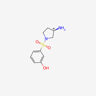 N[C@@H]1CCN(S(=O)(=O)c2cccc(O)c2)C1